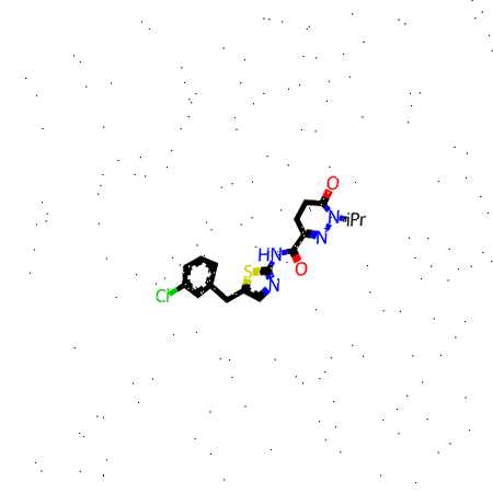 CC(C)N1N=C(C(=O)Nc2ncc(Cc3cccc(Cl)c3)s2)CCC1=O